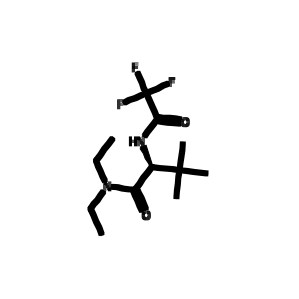 CCN(CC)C(=O)[C@@H](NC(=O)C(F)(F)F)C(C)(C)C